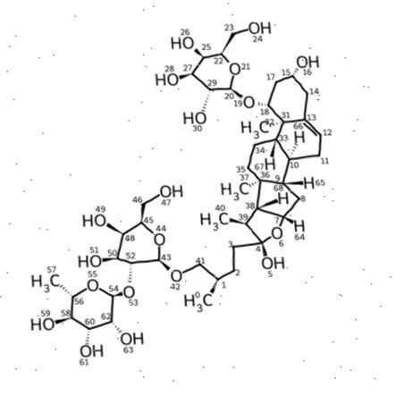 C[C@H](CC[C@@]1(O)O[C@H]2C[C@H]3[C@@H]4CC=C5C[C@@H](O)C[C@@H](O[C@@H]6O[C@H](CO)[C@H](O)[C@H](O)[C@H]6O)[C@]5(C)[C@H]4CC[C@]3(C)[C@H]2[C@@H]1C)CO[C@@H]1O[C@H](CO)[C@H](O)[C@H](O)[C@H]1O[C@@H]1O[C@@H](C)[C@H](O)[C@@H](O)[C@H]1O